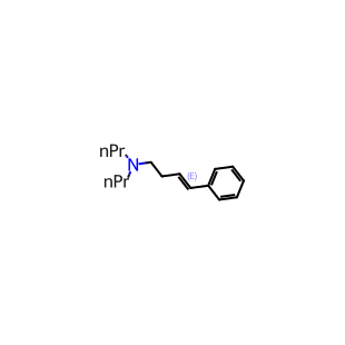 CCCN(CCC)CC/C=C/c1ccccc1